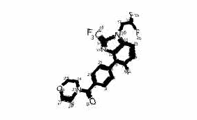 O=C(c1ccc(-c2c(F)ccc3c2nc(C(F)(F)F)n3CC(F)F)cc1)N1CCOCC1